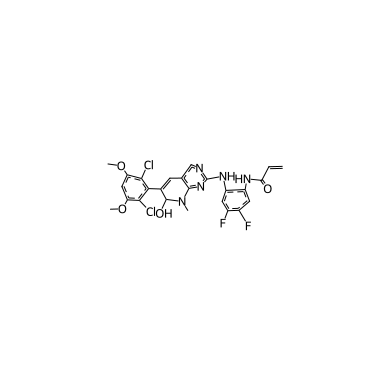 C=CC(=O)Nc1cc(F)c(F)cc1Nc1ncc2c(n1)N(C)C(O)C(c1c(Cl)c(OC)cc(OC)c1Cl)=C2